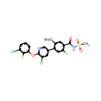 COc1cc(C(=O)NS(C)(=O)=O)c(F)cc1-c1cnc(Oc2cccc(Cl)c2F)c(Cl)c1